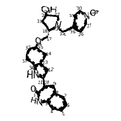 O=c1[nH]c2ccccc2cc1-c1cc2cc(OC[C@@H]3C[C@@H](O)CN3Cc3cc[n+]([O-])cc3)ccc2[nH]1